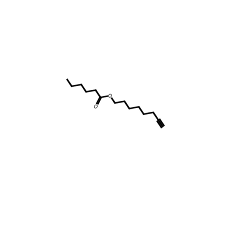 C#CCCCCCCOC(=O)CCCCC